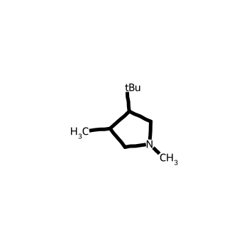 CC1CN(C)CC1C(C)(C)C